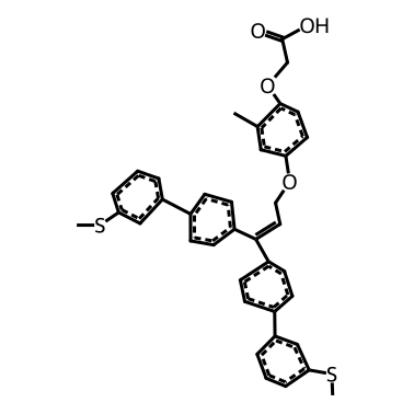 CSc1cccc(-c2ccc(C(=CCOc3ccc(OCC(=O)O)c(C)c3)c3ccc(-c4cccc(SC)c4)cc3)cc2)c1